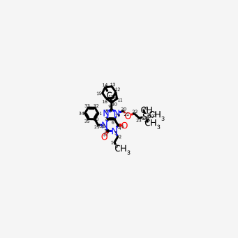 CCCn1c(=O)c2c(nc(C34CC5CC(CC3C5)C4)n2COCC[Si](C)(C)C)n(Cc2ccccc2)c1=O